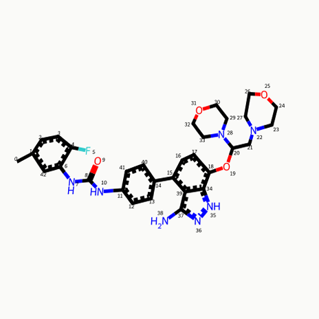 Cc1ccc(F)c(NC(=O)Nc2ccc(-c3ccc(OC(CN4CCOCC4)N4CCOCC4)c4[nH]nc(N)c34)cc2)c1